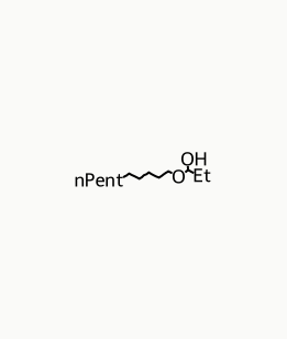 CCCCCCCCCCOC(O)CC